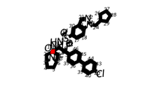 NC1CC2CCC(C1)N2C(=O)[C@H](NS(=O)(=O)c1ccc2c(cnn2CC2CCCC2)c1)C(F)(F)c1ccc(-c2ccc(Cl)cc2)cc1